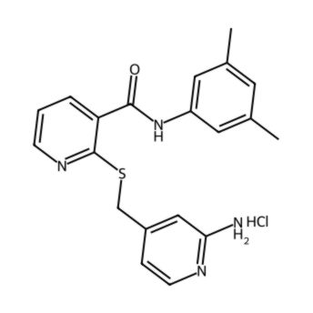 Cc1cc(C)cc(NC(=O)c2cccnc2SCc2ccnc(N)c2)c1.Cl